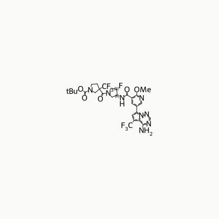 COc1ncc(-c2cc(C(F)(F)F)c3c(N)ncnn23)cc1C(=O)N[C@@H]1CN(C(=O)C2(C(F)(F)F)CCN(C(=O)OC(C)(C)C)C2)C[C@@H]1F